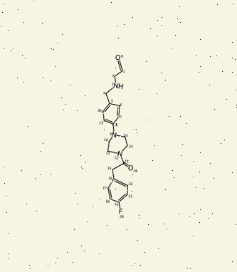 O=CCNCc1ccc(N2CCN(C(=O)Cc3ccc(F)cc3)CC2)cc1